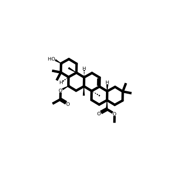 COC(=O)[C@]12CCC(C)(C)C[C@H]1C1=CC[C@@H]3[C@@]4(C)CC[C@H](O)C(C)(C)[C@@H]4[C@H](OC(C)=O)C[C@@]3(C)[C@]1(C)CC2